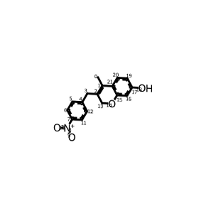 CC1=C(Cc2ccc([N+](=O)[O-])cc2)COc2cc(O)ccc21